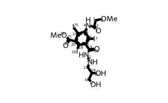 COCC(=O)Nc1c(I)c(C(=O)NNCC(O)CO)c(I)c(C(=O)OC)c1I